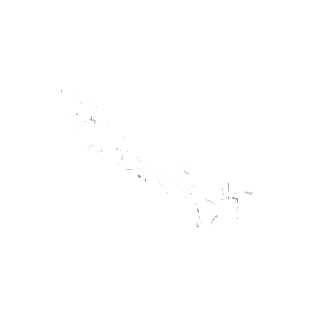 C=CC(=O)Nc1cccc(Oc2nccc3sc(Nc4ccc(N5CCC(N6CCN(CC)CC6)CC5)cc4)cc23)c1